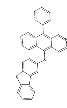 c1ccc(-c2c3ccccc3c(Sc3ccc4sc5ccccc5c4c3)c3ccncc23)cc1